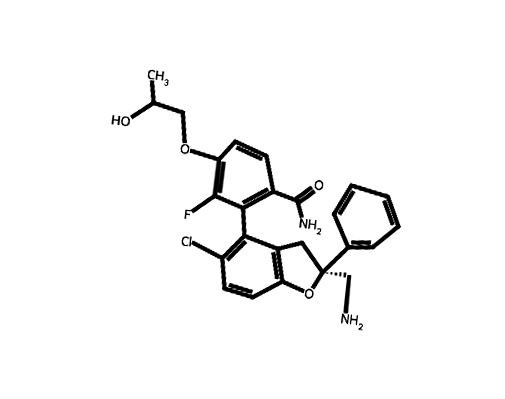 CC(O)COc1ccc(C(N)=O)c(-c2c(Cl)ccc3c2C[C@@](CN)(c2ccccc2)O3)c1F